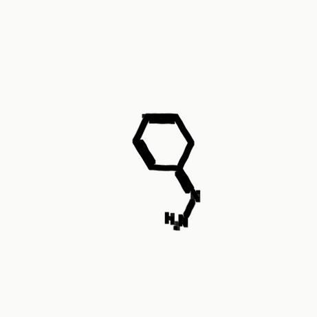 NN=C1C=C[C]=CC1